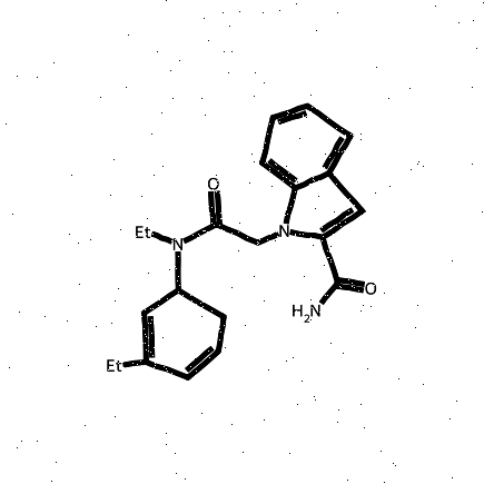 CCC1=CC(N(CC)C(=O)Cn2c(C(N)=O)cc3ccccc32)CC=C1